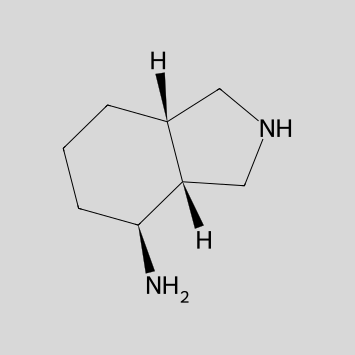 N[C@H]1CCC[C@@H]2CNC[C@@H]21